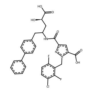 O=C(NC(Cc1ccc(-c2ccccc2)cc1)C[C@@H](O)C(=O)O)c1cc(C(=O)O)n(Cc2c(F)ccc(Cl)c2F)n1